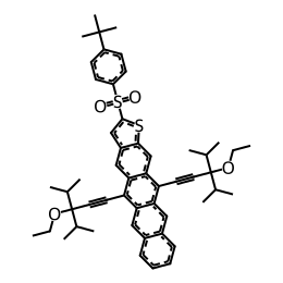 CCOC(C#Cc1c2cc3ccccc3cc2c(C#CC(OCC)(C(C)C)C(C)C)c2cc3sc(S(=O)(=O)c4ccc(C(C)(C)C)cc4)cc3cc12)(C(C)C)C(C)C